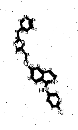 Clc1ccc(Nc2nccc3cc(OCc4cnc(Cc5cccnc5)o4)ccc23)cn1